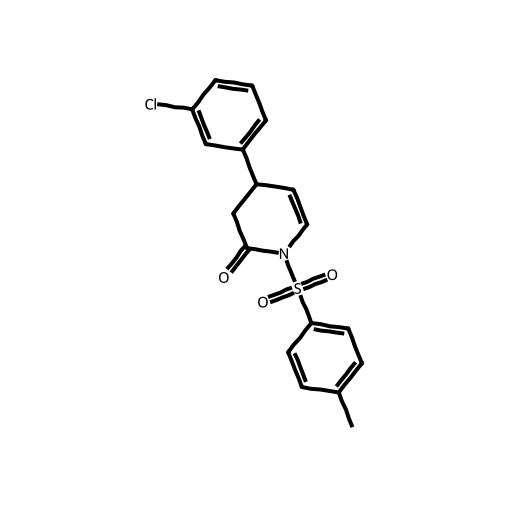 Cc1ccc(S(=O)(=O)N2C=CC(c3cccc(Cl)c3)CC2=O)cc1